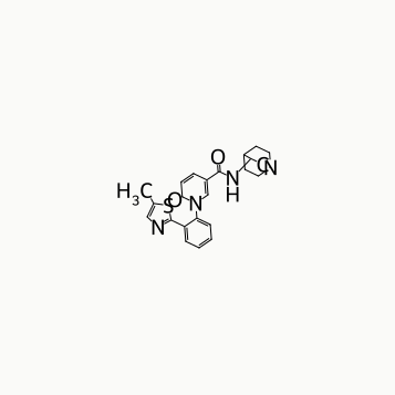 Cc1cnc(-c2ccccc2-n2cc(C(=O)NC3CN4CCC3CC4)ccc2=O)s1